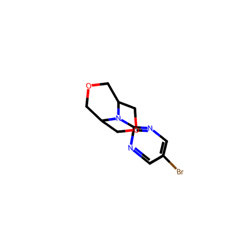 Brc1cnc(N2C3COCC2COC3)nc1